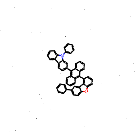 c1ccc(-c2ccc3oc4cccc(-c5c6ccccc6c(-c6ccc7c8ccccc8n(-c8ccccc8)c7c6)c6ccccc56)c4c3c2)cc1